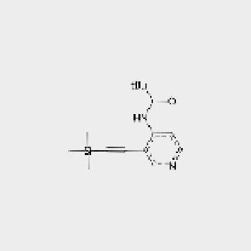 CC(C)(C)C(=O)Nc1ccncc1C#C[Si](C)(C)C